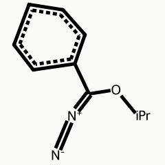 CC(C)OC(=[N+]=[N-])c1ccccc1